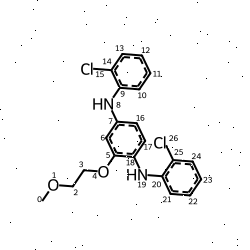 COCCOc1cc(Nc2ccccc2Cl)ccc1Nc1ccccc1Cl